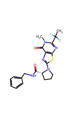 Cn1c(C(C)(F)F)nc2sc(N3CCC[C@@H]3C(=O)NCc3ccccc3)nc2c1=O